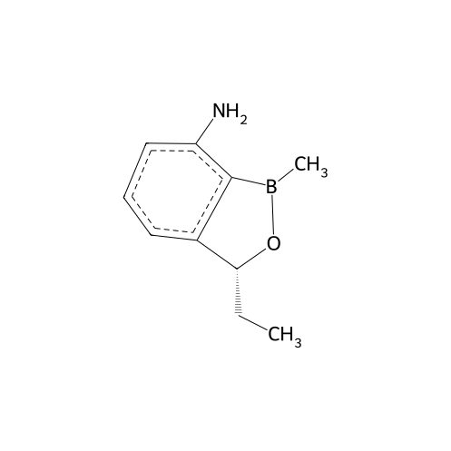 CC[C@H]1OB(C)c2c(N)cccc21